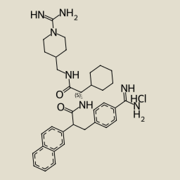 Cl.N=C(N)c1ccc(CC(C(=O)N[C@H](C(=O)NCC2CCN(C(=N)N)CC2)C2CCCCC2)c2ccc3ccccc3c2)cc1